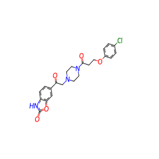 O=C(CN1CCN(C(=O)CCOc2ccc(Cl)cc2)CC1)c1ccc2[nH]c(=O)oc2c1